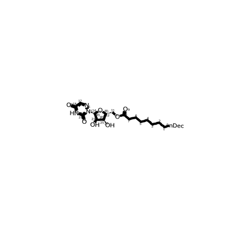 CCCCCCCCCCCCCCCCCC(=O)OC[C@H]1O[C@@H](n2ncc(=O)[nH]c2=O)C(O)[C@H]1O